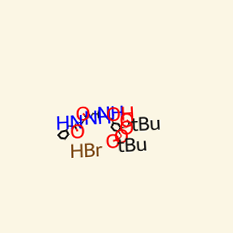 Br.CC(C)(CNC(=O)CNC(=O)Cc1ccccc1)NCC(O)c1ccc(OC(=O)C(C)(C)C)c(OC(=O)C(C)(C)C)c1